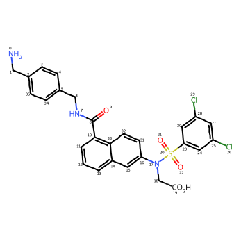 NCc1ccc(CNC(=O)c2cccc3cc(N(CC(=O)O)S(=O)(=O)c4cc(Cl)cc(Cl)c4)ccc23)cc1